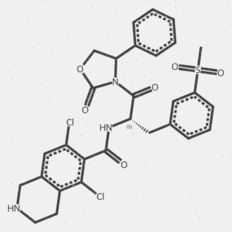 CS(=O)(=O)c1cccc(C[C@H](NC(=O)c2c(Cl)cc3c(c2Cl)CCNC3)C(=O)N2C(=O)OCC2c2ccccc2)c1